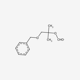 CC(C)(COCc1ccccc1)O[C]=O